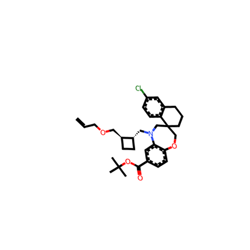 C=CCOC[C@@H]1CC[C@H]1CN1CC2(CCCc3cc(Cl)ccc32)COc2ccc(C(=O)OC(C)(C)C)cc21